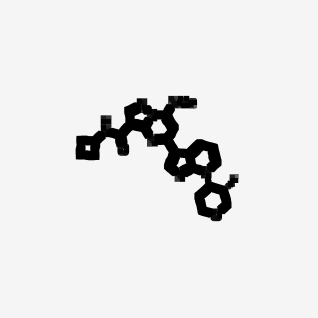 CNc1cc(-c2cnc3n([C@H]4CCOC[C@H]4F)cccc2-3)nc2c(C(=O)NC3CCC3)cnn12